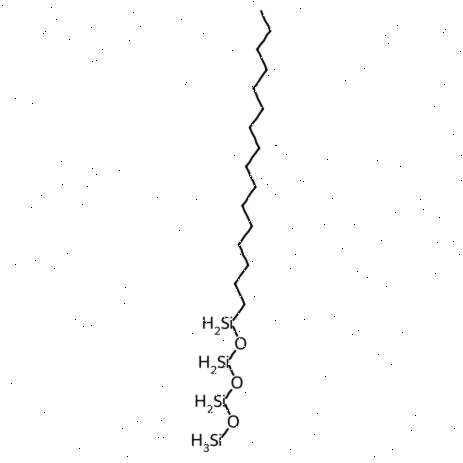 CCCCCCCCCCCCCCCC[SiH2]O[SiH2]O[SiH2]O[SiH3]